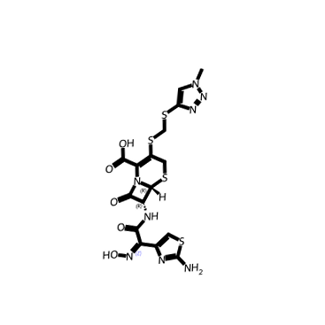 Cn1cc(SCSC2=C(C(=O)O)N3C(=O)[C@@H](NC(=O)/C(=N\O)c4csc(N)n4)[C@H]3SC2)nn1